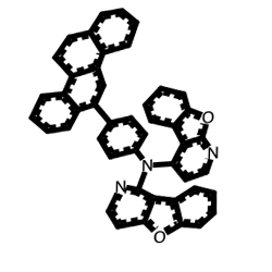 c1ccc2c(c1)ccc1c3ccccc3c(-c3ccc(N(c4nccc5oc6ccccc6c45)c4ccnc5oc6ccccc6c45)cc3)cc21